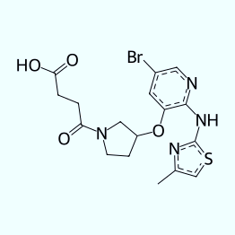 Cc1csc(Nc2ncc(Br)cc2OC2CCN(C(=O)CCC(=O)O)C2)n1